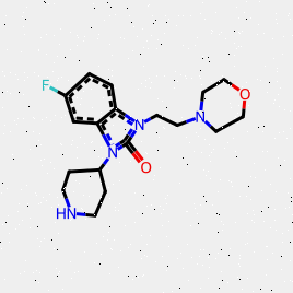 O=c1n(CCN2CCOCC2)c2ccc(F)cc2n1C1CCNCC1